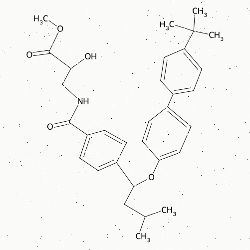 COC(=O)C(O)CNC(=O)c1ccc(C(CC(C)C)Oc2ccc(-c3ccc(C(C)(C)C)cc3)cc2)cc1